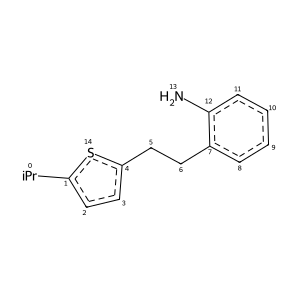 CC(C)c1ccc(CCc2ccccc2N)s1